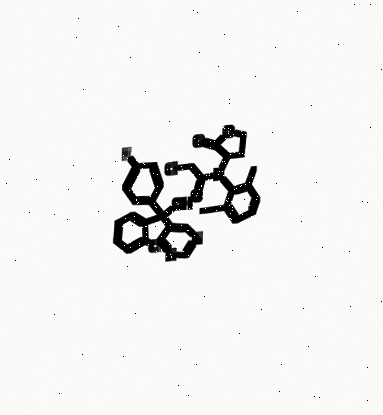 Cc1cccc(C)c1N(C(=O)CCl)C1CCOC1=O.OC(c1ccc(F)cc1)(c1cncnc1)c1ccccc1Cl